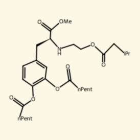 CCCCCC(=O)Oc1ccc(C[C@H](NCCOC(=O)CC(C)C)C(=O)OC)cc1OC(=O)CCCCC